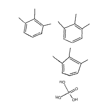 Cc1cccc(C)c1C.Cc1cccc(C)c1C.Cc1cccc(C)c1C.O=P(O)(O)O